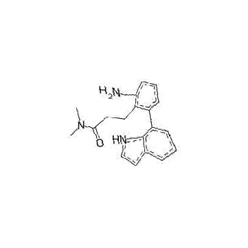 CN(C)C(=O)CCc1c(N)cccc1-c1cccc2cc[nH]c12